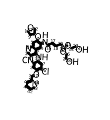 N#Cc1cnc2cc(OC3CCOC3)c(NC(=O)/C=C/CN(OCCO)OCCO)cc2c1Nc1ccc(OCc2ccccn2)c(Cl)c1